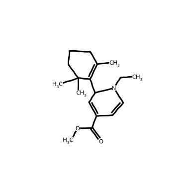 CCN1C=CC(C(=O)OC)=CC1C1=C(C)CCCC1(C)C